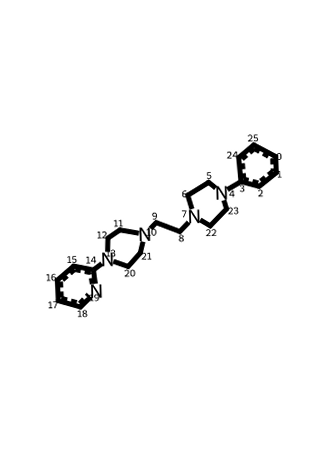 c1ccc(N2CCN(CCN3CCN(c4ccccn4)CC3)CC2)cc1